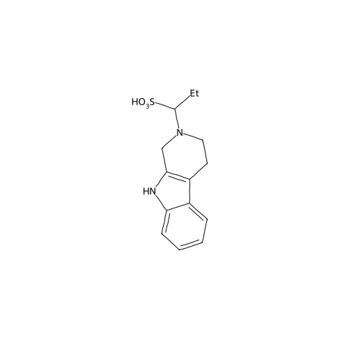 CCC(N1CCc2c([nH]c3ccccc23)C1)S(=O)(=O)O